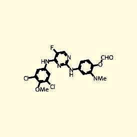 CNc1cc(Nc2ncc(F)c(Nc3cc(Cl)c(OC)c(Cl)c3)n2)ccc1OC=O